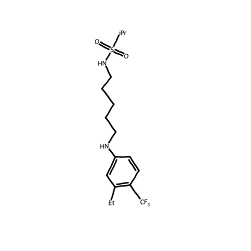 CCc1cc(NCCCCCNS(=O)(=O)C(C)C)ccc1C(F)(F)F